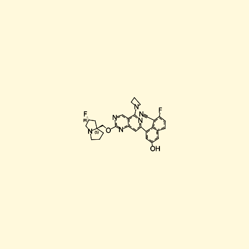 N#Cc1c(F)ccc2cc(O)cc(-c3cc4nc(OC[C@@]56CCCN5C[C@H](F)C6)ncc4c(N4CCC4)n3)c12